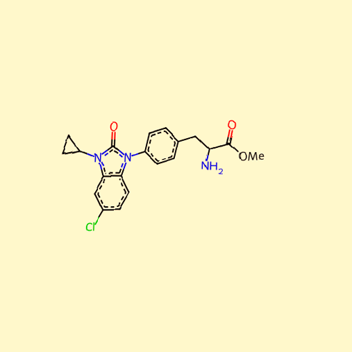 COC(=O)C(N)Cc1ccc(-n2c(=O)n(C3CC3)c3cc(Cl)ccc32)cc1